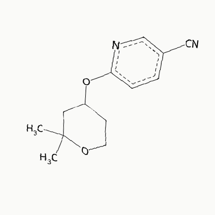 CC1(C)CC(Oc2ccc(C#N)cn2)CCO1